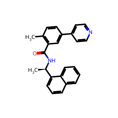 Cc1ccc(-c2ccncc2)cc1C(=O)N[C@H](C)c1cccc2ccccc12